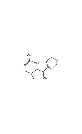 CC(C)[C@H](NC(=O)O)[C@H](O)N1CCOCC1